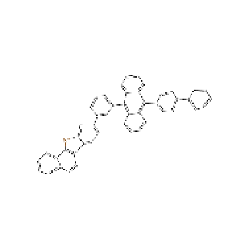 c1ccc(-c2ccc(-c3c4ccccc4c(-c4cccc(-c5ccc6c(c5)sc5c7ccccc7ccc65)c4)c4ccccc34)cc2)cc1